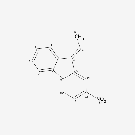 C/C=C1\c2ccccc2-c2ccc([N+](=O)[O-])cc21